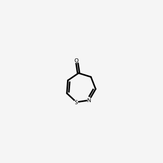 O=C1C=CSN=CC1